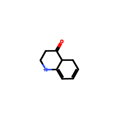 O=C1CC[N]C2=CC=CCC12